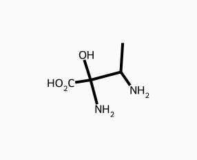 CC(N)C(N)(O)C(=O)O